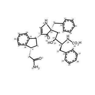 NC(=O)C[C@H]1C[C@@H](C2=CN[C@@](Cc3ccccc3)(C[C@H](O)[C@H](Cc3ccccc3)NC(=O)O)C2=O)c2ccccc21